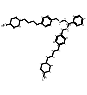 CCCC1CCC(CCCCc2ccc(COC[C@H](OCc3ccc(CCCCC4CCC(CCC)CC4)cc3)c3ccccc3)cc2)CC1